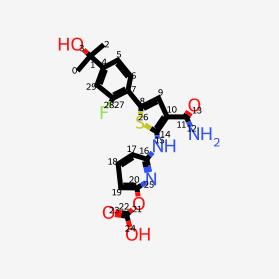 CC(C)(O)c1ccc(-c2cc(C(N)=O)c(Nc3cccc(OC(=O)O)n3)s2)c(F)c1